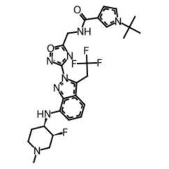 CN1CC[C@@H](Nc2cccc3c(CC(F)(F)F)n(-c4noc(CNC(=O)c5ccn(C(C)(C)C)c5)n4)nc23)[C@@H](F)C1